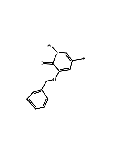 CC(C)n1cc(Br)cc(OCc2ccccc2)c1=O